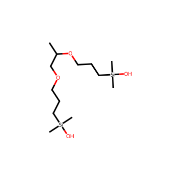 CC(COCCC[Si](C)(C)O)OCCC[Si](C)(C)O